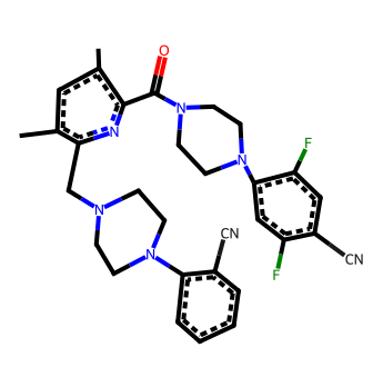 Cc1cc(C)c(C(=O)N2CCN(c3cc(F)c(C#N)cc3F)CC2)nc1CN1CCN(c2ccccc2C#N)CC1